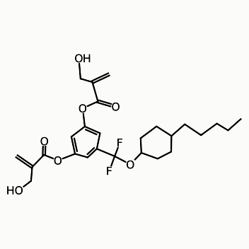 C=C(CO)C(=O)Oc1cc(OC(=O)C(=C)CO)cc(C(F)(F)OC2CCC(CCCCC)CC2)c1